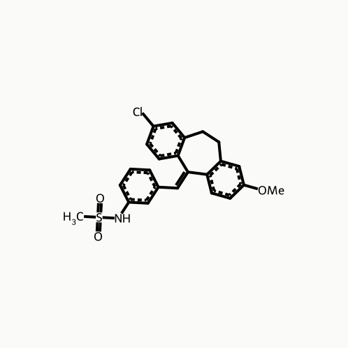 COc1ccc2c(c1)CCc1cc(Cl)ccc1/C2=C\c1cccc(NS(C)(=O)=O)c1